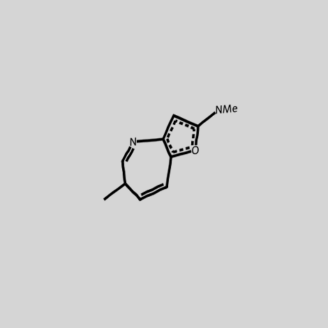 CNc1cc2c(o1)C=CC(C)C=N2